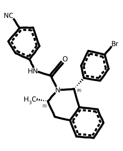 C[C@H]1Cc2ccccc2[C@@H](c2ccc(Br)cc2)N1C(=O)Nc1ccc(C#N)cc1